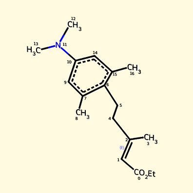 CCOC(=O)/C=C(\C)CCc1c(C)cc(N(C)C)cc1C